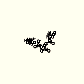 O.O.O.O.O.O.O=[N+]([O-])[O-].O=[N+]([O-])[O-].O=[N+]([O-])[O-].[Ho+3]